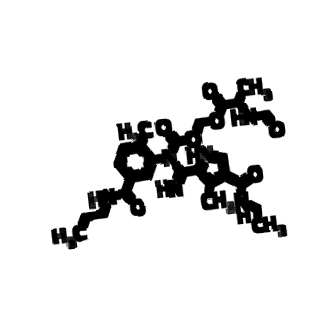 CCCNC(=O)c1ccc(C)c(N(C(=N)c2[nH]cc(C(=O)NCC)c2C)C(=O)OCOC(=O)C(C)NC=O)c1